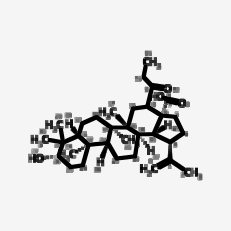 C=C(C)[C@@H]1CC[C@]2(C(=O)O)C(C(=O)CC)C[C@]3(C)[C@H](CC[C@@H]4[C@@]5(C)CC[C@H](O)C(C)(C)[C@@H]5CC[C@]43C)[C@@H]12